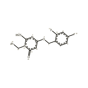 CSc1nc(OCc2ccc(F)cc2F)cc(=O)n1CC(C)C